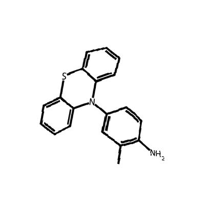 Cc1cc(N2c3ccccc3Sc3ccccc32)ccc1N